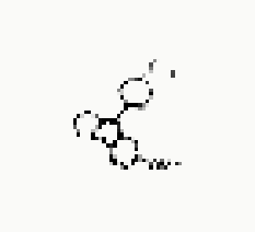 COc1ccc2c(c1)c(C1=CCN(C)CC1)c1n2CCC1